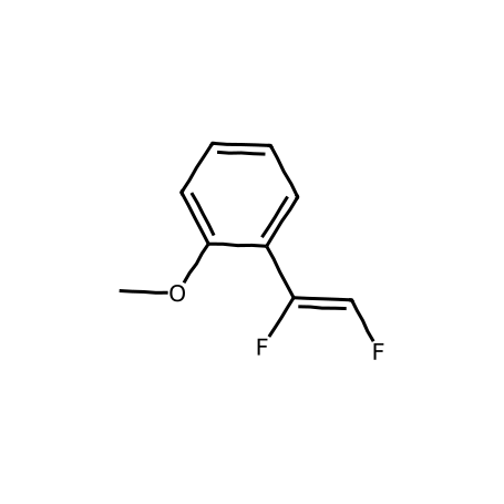 COc1ccccc1/C(F)=C/F